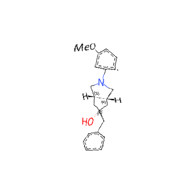 COc1cc[c]c(N2C[C@@H]3C[C@@](O)(Cc4ccccc4)C[C@@H]3C2)c1